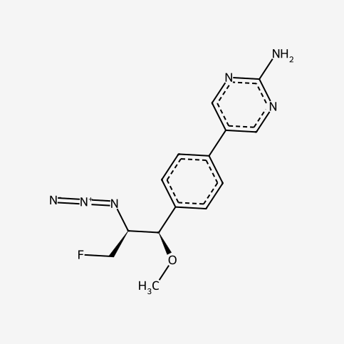 CO[C@H](c1ccc(-c2cnc(N)nc2)cc1)[C@@H](CF)N=[N+]=[N-]